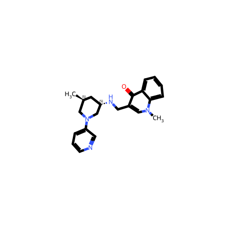 C[C@H]1C[C@H](NCc2cn(C)c3ccccc3c2=O)CN(c2cccnc2)C1